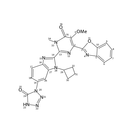 COc1c(-c2nc3ccccc3o2)nc(-c2nc3ccc(-n4nn[nH]c4=O)cc3n2C2CCC2)n(C)c1=O